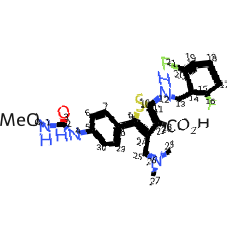 CONC(=O)Nc1ccc(-c2sc(NCc3c(F)cccc3F)c(C(=O)O)c2CN(C)C)cc1